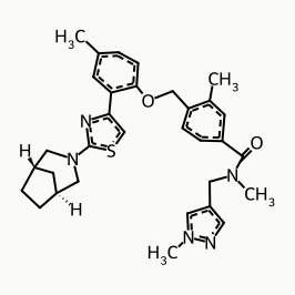 Cc1ccc(OCc2ccc(C(=O)N(C)Cc3cnn(C)c3)cc2C)c(-c2csc(N3C[C@H]4CC[C@@H](C4)C3)n2)c1